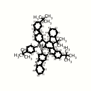 CC(C)(C)c1ccc(Nc2cc3sc4ccc(C(C)(C)C)cc4c3cc2-c2c3c(c4c5cc(C(C)(C)C)ccc5n5c4c2Bc2cc4sc6ccccc6c4cc2-5)C(C)(C)c2ccccc2-3)cc1